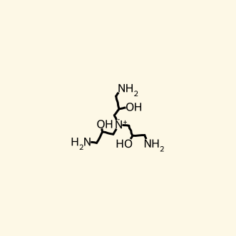 NCC(O)C[N+](CC(O)CN)CC(O)CN